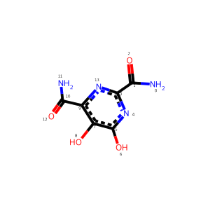 NC(=O)c1nc(O)c(O)c(C(N)=O)n1